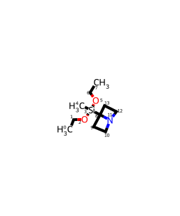 CCO[Si](C)(OCC)C12CCN1CC2